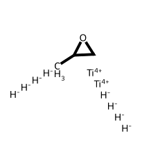 CC1CO1.[H-].[H-].[H-].[H-].[H-].[H-].[H-].[H-].[Ti+4].[Ti+4]